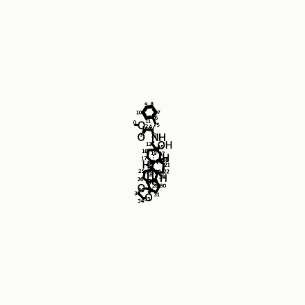 COC(=O)[C@H](Cc1ccccc1)NC[C@@]1(O)CC[C@@]2(C)[C@@H](CC[C@@H]3[C@@H]2CC[C@@]2(C)[C@H]3CCC23OCCO3)C1